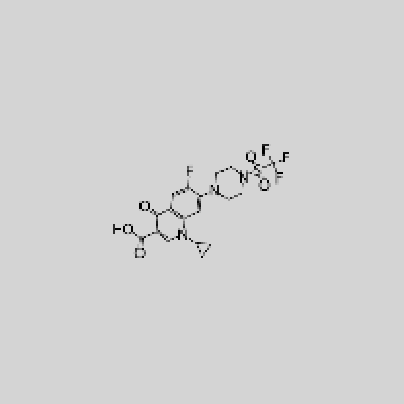 O=C(O)c1cn(C2CC2)c2cc(N3CCN(S(=O)(=O)C(F)(F)F)CC3)c(F)cc2c1=O